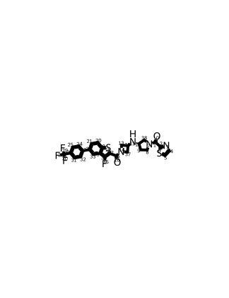 O=C(c1nccs1)N1CC[C@H](NC2CN(C(=O)c3sc4ccc(-c5ccc(C(F)(F)F)cc5)cc4c3F)C2)C1